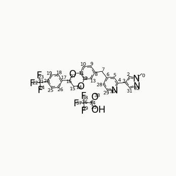 Cn1cc(-c2cc(Cc3ccc4c(c3)OCC(c3ccc(C(F)(F)F)cc3)O4)ccn2)cn1.O=C(O)C(F)(F)F